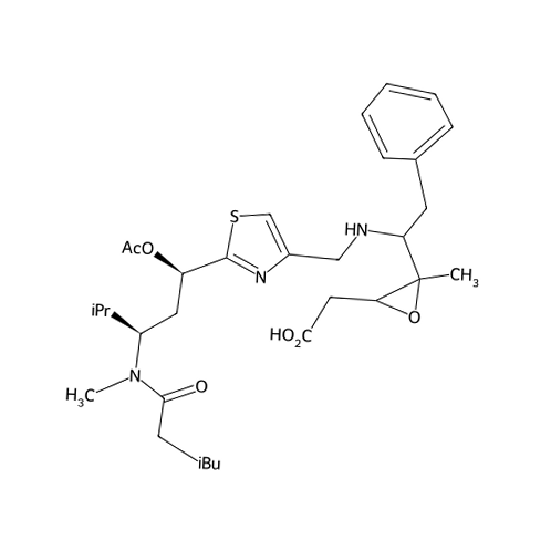 CCC(C)CC(=O)N(C)[C@H](C[C@@H](OC(C)=O)c1nc(CNC(Cc2ccccc2)C2(C)OC2CC(=O)O)cs1)C(C)C